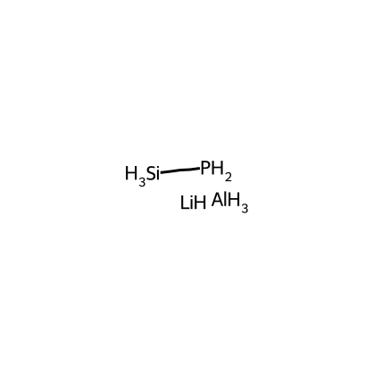 [AlH3].[LiH].[SiH3]P